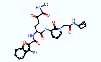 CCNC(=O)C(=O)CC[C@H](NC(=O)c1oc2ccccc2c1CC)C(=O)Nc1cccn(CC(=O)NC23CC(C2)C3)c1=O